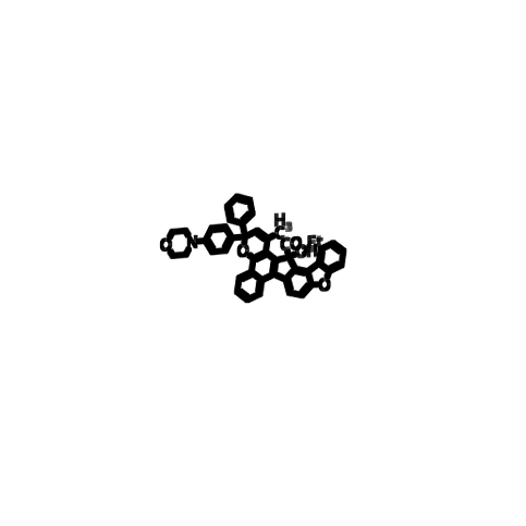 CCOC(=O)C1(O)c2c3c(c4ccccc4c2-c2ccc4oc5ccccc5c4c21)OC(c1ccccc1)(c1ccc(N2CCOCC2)cc1)C=C3C